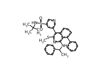 CSc1nc(NC(C)c2ccccc2)c2c(-c3ccccc3)cccc2c1-c1cncc(S(=O)(=O)NC(C)(C)C)c1